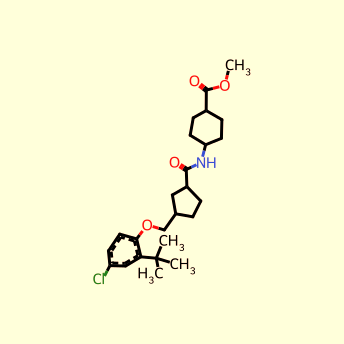 COC(=O)C1CCC(NC(=O)C2CCC(COc3ccc(Cl)cc3C(C)(C)C)C2)CC1